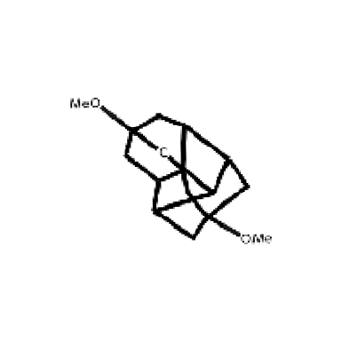 COC12CC3C4CC5(OC)CC3C(C1)C(C5)C4C2